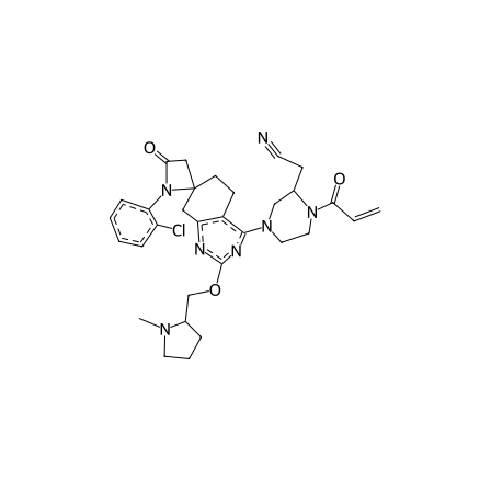 C=CC(=O)N1CCN(c2nc(OCC3CCCN3C)nc3c2CCC2(CC(=O)N2c2ccccc2Cl)C3)CC1CC#N